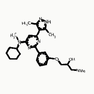 CNCC(O)COc1cccc(-c2nc(-c3c(C)n[nH]c3C)cc(N(C)C3CCCCC3)n2)c1